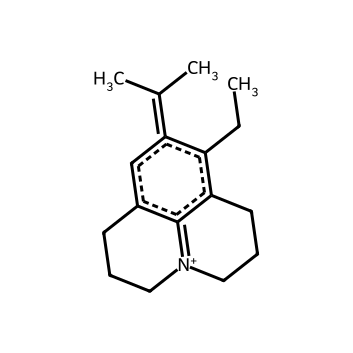 CCc1c2c3c(cc1=C(C)C)CCC[N+]=3CCC2